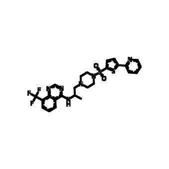 CC(CN1CCN(S(=O)(=O)c2ccc(-c3ccccn3)s2)CC1)Nc1ncnc2c(C(F)(F)F)cccc12